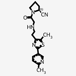 Cc1ccc(-c2nc(CCNCC(=O)N3CCC[C@H]3C#N)c(C)s2)cn1